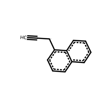 C#C[CH]c1cccc2ccccc12